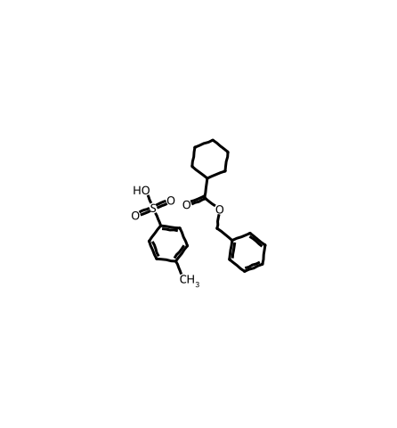 Cc1ccc(S(=O)(=O)O)cc1.O=C(OCc1ccccc1)C1CCCCC1